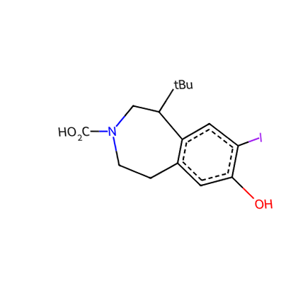 CC(C)(C)C1CN(C(=O)O)CCc2cc(O)c(I)cc21